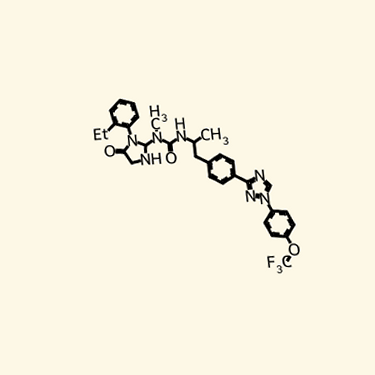 CCc1ccccc1N1C(=O)CNC1N(C)C(=O)NC(C)Cc1ccc(-c2ncn(-c3ccc(OC(F)(F)F)cc3)n2)cc1